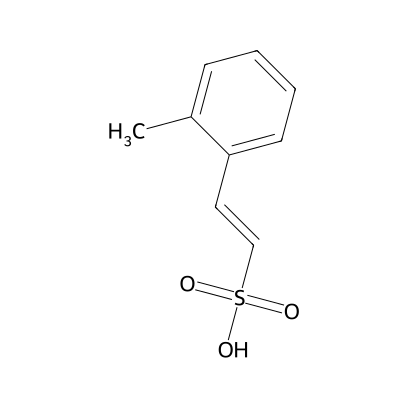 Cc1ccccc1C=CS(=O)(=O)O